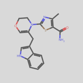 Cc1nc(N2CCOC=C2Cc2c[nH]c3ccccc23)sc1C(N)=O